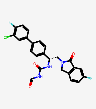 O=CNC(=O)N[C@@H](CN1Cc2ccc(F)cc2C1=O)c1ccc(-c2ccc(F)c(Cl)c2)cc1